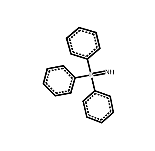 N=P(c1ccccc1)(c1ccccc1)c1ccccc1